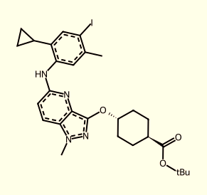 Cc1cc(Nc2ccc3c(n2)c(O[C@H]2CC[C@H](C(=O)OC(C)(C)C)CC2)nn3C)c(C2CC2)cc1I